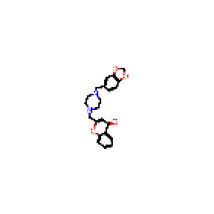 O=c1cc(CN2CCN(Cc3ccc4c(c3)OCO4)CC2)oc2ccccc12